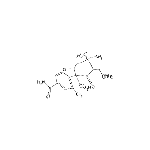 COCC1C(=O)C(C(=O)O)(c2ccc(C(N)=O)cc2C(F)(F)F)C(=O)CC1(C)C